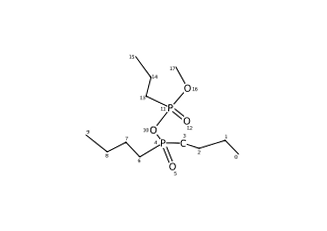 CCCCP(=O)(CCCC)OP(=O)(CCC)OC